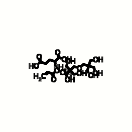 C=CC(=O)OC.NC(CCC(=O)O)C(=O)O.OCC(CO)(CO)COCC(CO)(CO)CO